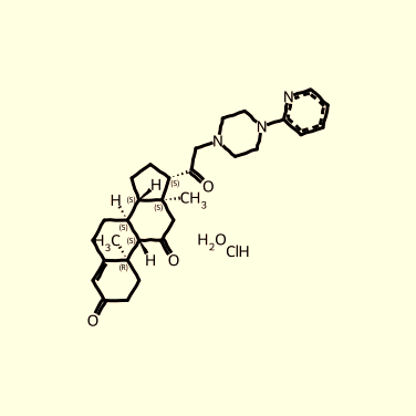 C[C@]12CC(=O)[C@H]3[C@@H](CCC4=CC(=O)CC[C@@]43C)[C@@H]1CC[C@@H]2C(=O)CN1CCN(c2ccccn2)CC1.Cl.O